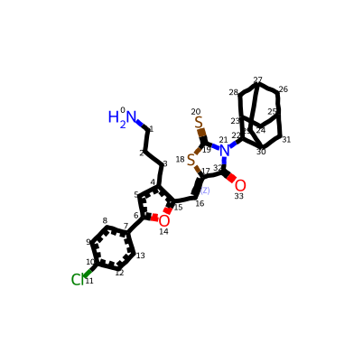 NCCCc1cc(-c2ccc(Cl)cc2)oc1/C=C1\SC(=S)N(C2C3CC4CC(C3)CC2C4)C1=O